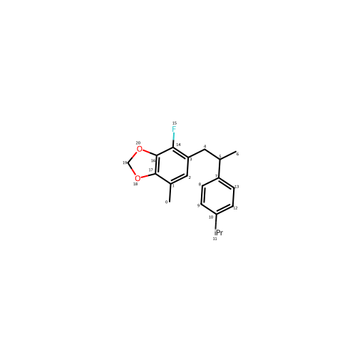 Cc1cc(CC(C)c2ccc(C(C)C)cc2)c(F)c2c1OCO2